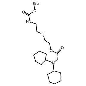 CC(C)(C)OC(=O)NCCOCCOC(=O)CN(C1CCCCC1)C1CCCCC1